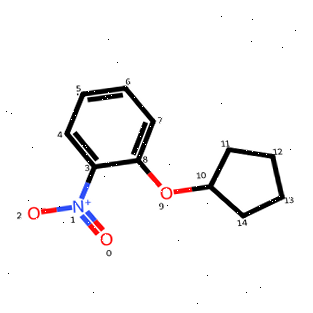 O=[N+]([O-])c1c[c]ccc1OC1CCCC1